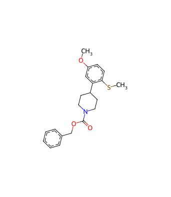 COc1ccc(SC)c(C2CCN(C(=O)OCc3ccccc3)CC2)c1